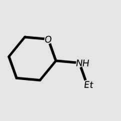 CCNC1CCCCO1